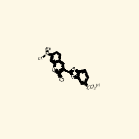 CCN(CC)c1ccc2cc(-c3nc4cc(C(=O)O)ccc4s3)c(=O)oc2c1